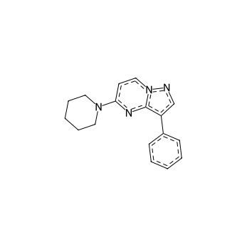 c1ccc(-c2cnn3ccc(N4CCCCC4)nc23)cc1